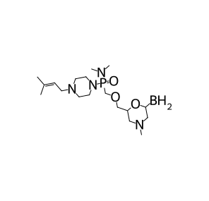 BC1CN(C)CC(COCP(=O)(N(C)C)N2CCN(CC=C(C)C)CC2)O1